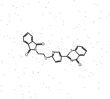 O=C1c2ccccc2C(=O)N1CCOc1ccc(-c2nc(=O)c3ccccc3s2)cn1